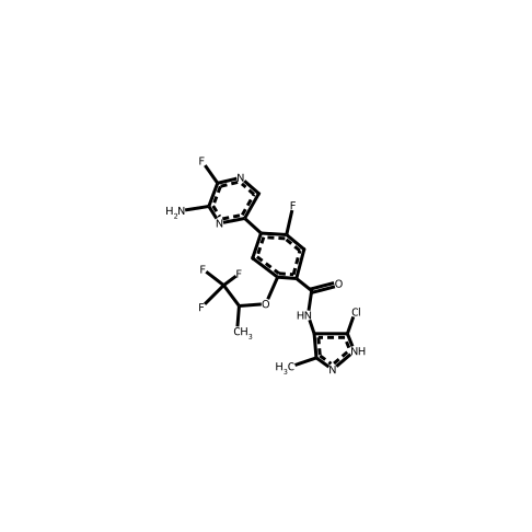 Cc1n[nH]c(Cl)c1NC(=O)c1cc(F)c(-c2cnc(F)c(N)n2)cc1OC(C)C(F)(F)F